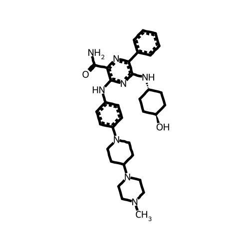 CN1CCN(C2CCN(c3ccc(Nc4nc(N[C@H]5CC[C@H](O)CC5)c(-c5ccccc5)nc4C(N)=O)cc3)CC2)CC1